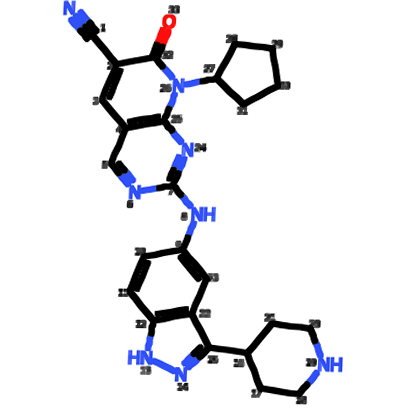 N#Cc1cc2cnc(Nc3ccc4[nH]nc(C5CCNCC5)c4c3)nc2n(C2CCCC2)c1=O